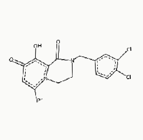 CC(C)c1cc(=O)c(O)c2n1CCN(Cc1ccc(Cl)c(Cl)c1)C2=O